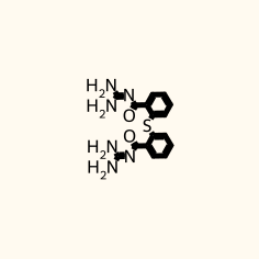 NC(N)=NC(=O)c1ccccc1Sc1ccccc1C(=O)N=C(N)N